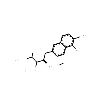 COC.COc1ccc2cc([C@@H](C)C(=O)C(C(=O)O)C(O)C(=O)O)ccc2c1Br